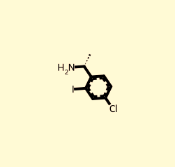 C[C@@H](N)c1ccc(Cl)cc1I